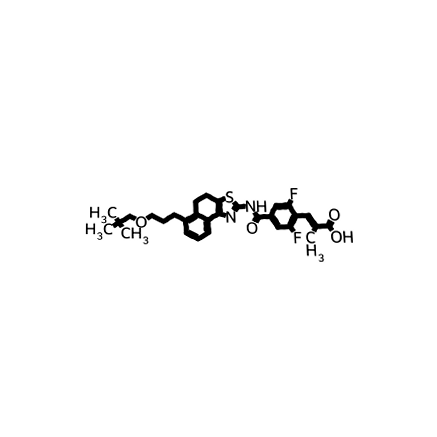 C/C(=C\c1c(F)cc(C(=O)Nc2nc3c(s2)CCc2c(CCCOCC(C)(C)C)cccc2-3)cc1F)C(=O)O